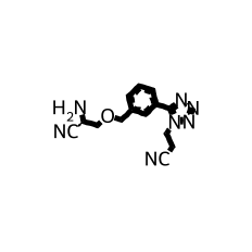 N#CCCn1nnnc1-c1cccc(COC[C@@H](N)C#N)c1